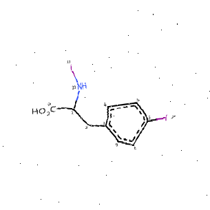 O=C(O)C(Cc1ccc(I)cc1)NI